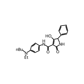 CCCCN(CC)c1ccc(NC(=O)C2=C(O)C(c3ccccc3)NC2=O)cc1